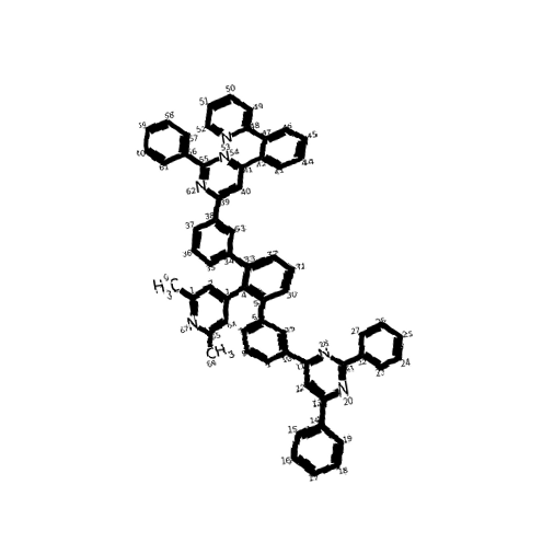 Cc1cc(-c2c(-c3cccc(-c4cc(-c5ccccc5)nc(-c5ccccc5)n4)c3)cccc2-c2cccc(-c3cc(-c4ccccc4-c4ccccn4)nc(-c4ccccc4)n3)c2)cc(C)n1